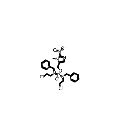 Cn1c(COP(=O)(N(CCCl)Cc2ccccc2)N(CCCl)Cc2ccccc2)cnc1[N+](=O)[O-]